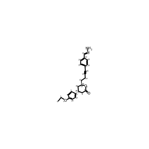 CCOc1ccc([C@H]2CC(=O)O[C@H](CCC#Cc3ccc(C=NN)cc3)C2)cc1